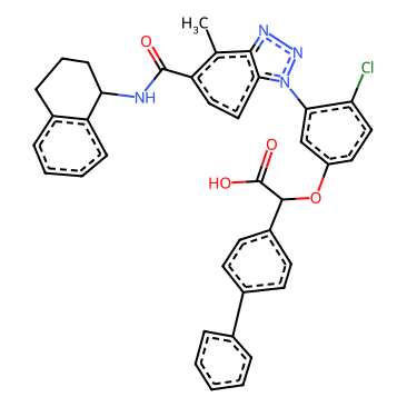 Cc1c(C(=O)NC2CCCc3ccccc32)ccc2c1nnn2-c1cc(OC(C(=O)O)c2ccc(-c3ccccc3)cc2)ccc1Cl